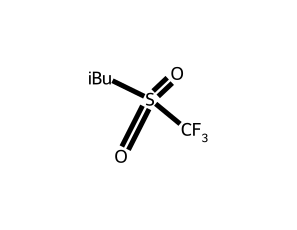 CCC(C)S(=O)(=O)C(F)(F)F